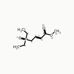 CCP(=O)(CC)C/C=C/C(=O)OC